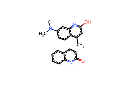 Cc1cc(O)nc2cc(N(C)C)ccc12.O=c1ccc2ccccc2[nH]1